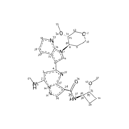 CNc1cc(-c2cn([C@@H]3CCOC[C@H]3OC)c3ncccc23)nc2c(C(=O)N[C@@H]3CC[C@H]3OC)cnn12